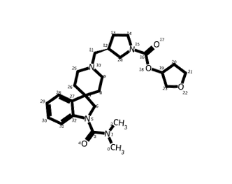 CN(C)C(=O)N1CC2(CCN(C[C@H]3CCN(C(=O)OC4CCOC4)C3)CC2)c2ccccc21